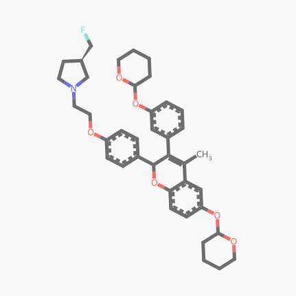 CC1=C(c2cccc(OC3CCCCO3)c2)C(c2ccc(OCCN3CC[C@@H](CF)C3)cc2)Oc2ccc(OC3CCCCO3)cc21